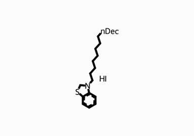 CCCCCCCCCCCCCCCCCCN1CSc2ccccc21.I